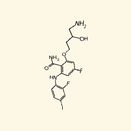 NCC(O)CCOc1cc(F)cc(Nc2ccc(I)cc2F)c1C(N)=O